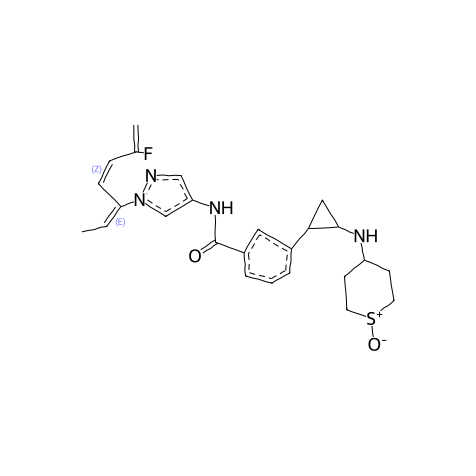 C=C(F)/C=C\C(=C/C)n1cc(NC(=O)c2cccc(C3CC3NC3CC[S+]([O-])CC3)c2)cn1